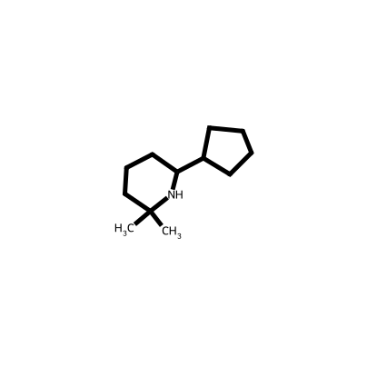 CC1(C)CCCC(C2CCCC2)N1